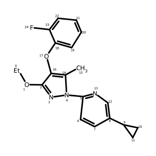 CCOc1nn(-c2ccc(C3CC3)cn2)c(C)c1Oc1ccccc1F